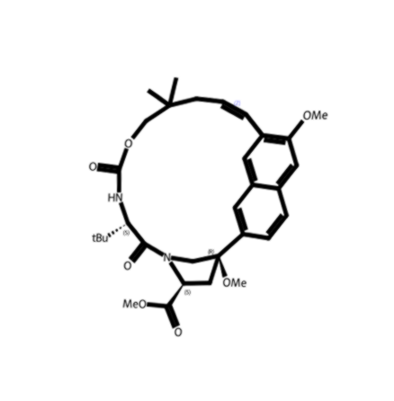 COC(=O)[C@@H]1C[C@]2(OC)CN1C(=O)[C@H](C(C)(C)C)NC(=O)OCC(C)(C)C/C=C\c1cc3cc2ccc3cc1OC